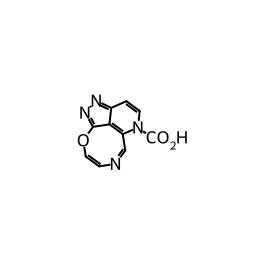 O=C(O)n1ccc2nnc3occncc1c23